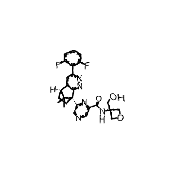 CC1(C)[C@H]2CC[C@]1(c1cncc(C(=O)NC3(CO)COC3)n1)c1nnc(-c3c(F)cccc3F)cc12